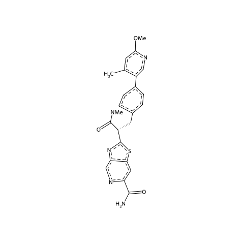 CNC(=O)[C@H](Cc1ccc(-c2cnc(OC)cc2C)cc1)c1nc2cnc(C(N)=O)cc2s1